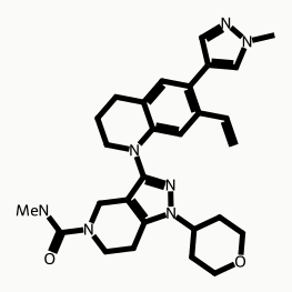 C=Cc1cc2c(cc1-c1cnn(C)c1)CCCN2c1nn(C2CCOCC2)c2c1CN(C(=O)NC)CC2